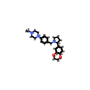 CC(=O)N1CCN(c2ccc(CN3CCCC3c3ccc4c(c3)OCCO4)cc2)CC1